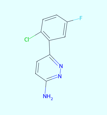 Nc1ccc(-c2cc(F)ccc2Cl)nn1